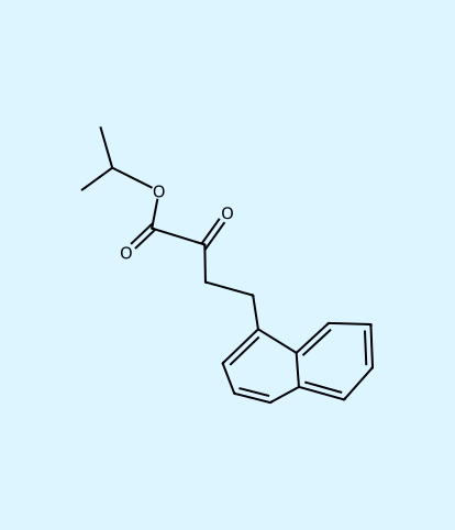 CC(C)OC(=O)C(=O)CCc1cccc2ccccc12